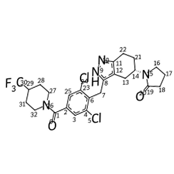 O=C(c1cc(Cl)c(Cc2[nH]nc3c2C[C@@H](N2CCCC2=O)CC3)c(Cl)c1)N1CCC(C(F)(F)F)CC1